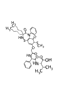 CCCCC1(CCCC)NSC2=C(C(=O)C(SC)C(OCC(=O)N[C@@H](C(=O)N[C@H](C(=O)O)C(C)C)c3ccccc3)=C2)N(c2ccccc2)C1=O